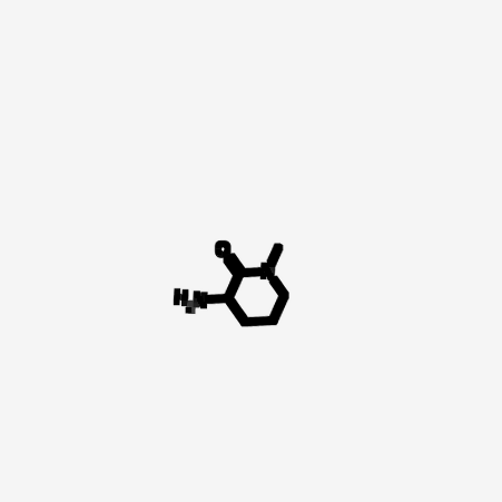 CN1CCCC(N)C1=O